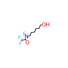 O=C(C(F)F)N(F)CCCCCCO